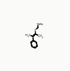 CNCS/C(C)=C(\C)c1ccccc1